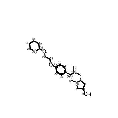 CN[C@H](CN1CCC(O)C1)c1ccc(OCCOC2CCCCO2)cc1